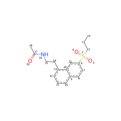 CCCS(=O)(=O)c1ccc2cccc(CCNC(C)=O)c2c1